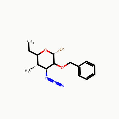 CCC1O[C@H](Br)C(OCc2ccccc2)[C@@H](N=[N+]=[N-])[C@@H]1C